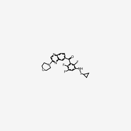 O=C(c1ccc2ncc(N3CCOCC3)nc2c1)c1c(F)c(F)cc(NSC2CC2)c1F